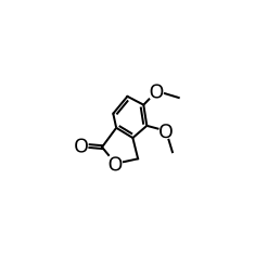 COc1ccc2c(c1OC)COC2=O